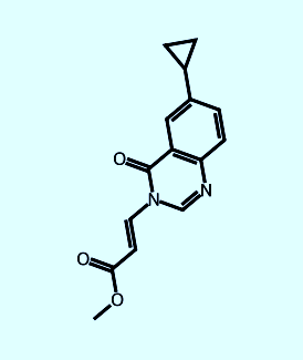 COC(=O)C=Cn1cnc2ccc(C3CC3)cc2c1=O